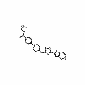 CCOC(=O)c1ccc(N2CCC(Cc3noc(-c4cc5cnccc5o4)n3)CC2)nc1